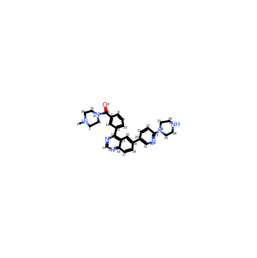 CN1CCN(C(=O)c2cccc(-c3ncnc4ccc(-c5ccc(N6CCNCC6)nc5)cc34)c2)CC1